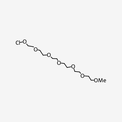 COCCOCCOCCOCCOCCOCCOCl